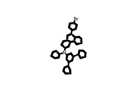 Brc1ccc(-c2cc3ccc(N(c4ccccc4)c4cc(-c5ccccc5)cc(-c5ccccc5)c4)cc3c3ccccc23)cc1